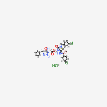 Cl.N[C@@H](Cc1ccccc1)C(=O)NCC(=O)OCN1C(=O)N(Cc2ccc(Cl)cc2)SC1NC(=O)c1ccc(Cl)cc1